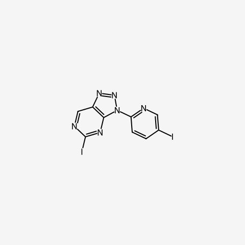 Ic1ccc(-n2nnc3cnc(I)nc32)nc1